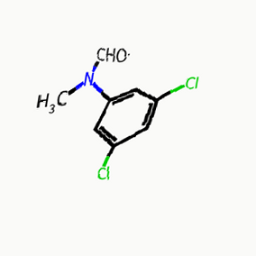 CN([C]=O)c1cc(Cl)cc(Cl)c1